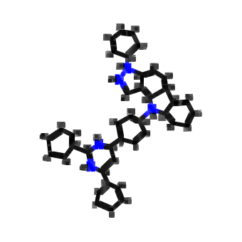 c1ccc(-c2cc(-c3ccc(-n4c5ccccc5c5ccc6c(cnn6-c6ccccc6)c54)cc3)nc(-c3ccccc3)n2)cc1